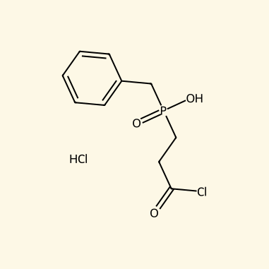 Cl.O=C(Cl)CCP(=O)(O)Cc1ccccc1